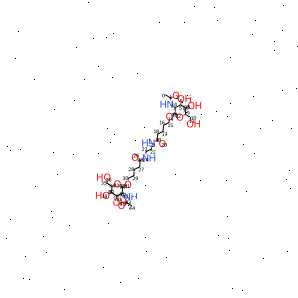 CC(=O)NC1C(O)[C@@H](O)C(CO)O[C@H]1OCCCCC(=O)NCCNC(=O)CCCCO[C@@H]1OC(CO)[C@H](O)C(O)[C@@H]1NC(C)=O